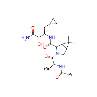 CC(C)C(=O)N[C@H](C(=O)N1CC2C(C1C(=O)NC(CC1CC1)C(O)C(N)=O)C2(C)C)C(C)(C)C